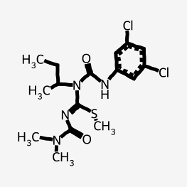 CCC(C)N(C(=O)Nc1cc(Cl)cc(Cl)c1)C(=NC(=O)N(C)C)SC